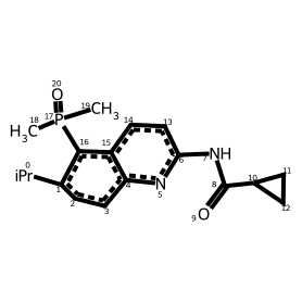 CC(C)c1ccc2nc(NC(=O)C3CC3)ccc2c1P(C)(C)=O